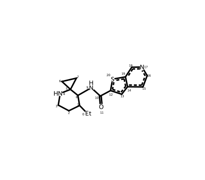 CCC1CCNC2(CC2)C1NC(=O)c1cc2ccncc2s1